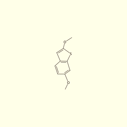 COc1ccc2cc(OC)sc2c1